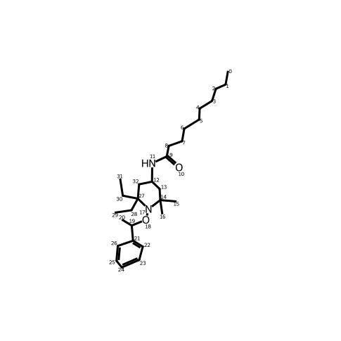 CCCCCCCCCC(=O)NC1CC(C)(C)N(OC(C)c2ccccc2)C(CC)(CC)C1